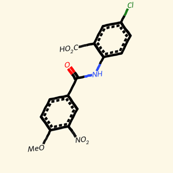 COc1ccc(C(=O)Nc2ccc(Cl)cc2C(=O)O)cc1[N+](=O)[O-]